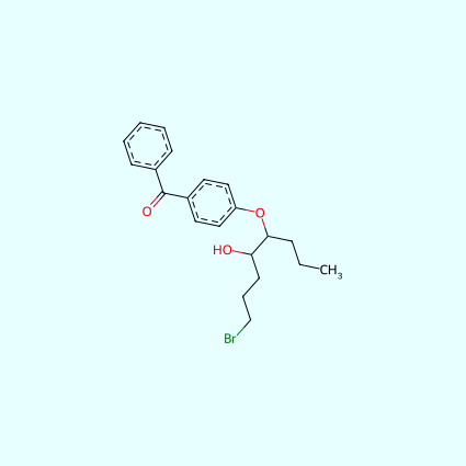 CCCC(Oc1ccc(C(=O)c2ccccc2)cc1)C(O)CCCBr